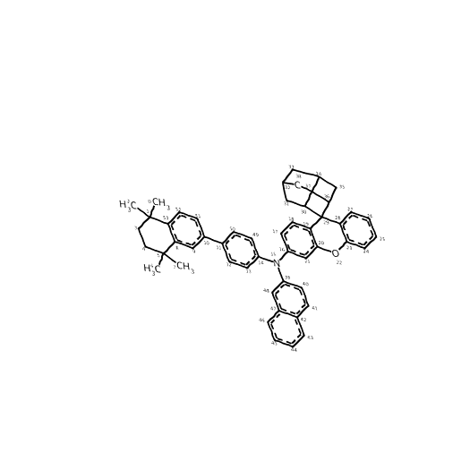 CC1(C)CCC(C)(C)c2cc(-c3ccc(N(c4ccc5c(c4)Oc4ccccc4C54C5CC6CC7CC4C75C6)c4ccc5ccccc5c4)cc3)ccc21